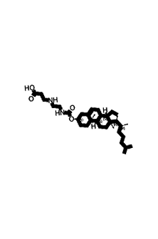 CC(C)CCC[C@@H](C)[C@H]1CC[C@H]2C3CC=C4C[C@@H](OC(=O)NCCNCCC(=O)O)CC[C@]4(C)[C@H]3CC[C@]12C